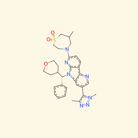 Cc1nnn(C)c1-c1cnc2c3ccc(N4CCS(=O)(=O)CC(C)C4)nc3n([C@H](c3ccccc3)C3CCOCC3)c2c1